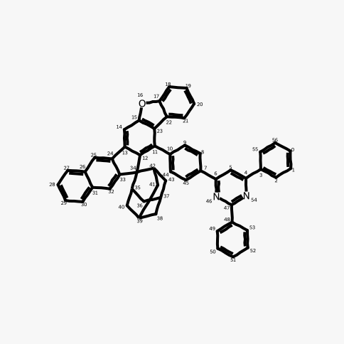 c1ccc(-c2cc(-c3ccc(-c4c5c(cc6oc7ccccc7c46)-c4cc6ccccc6cc4C54C5CC6CC(C5)CC4C6)cc3)nc(-c3ccccc3)n2)cc1